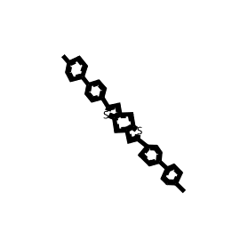 Cc1ccc(-c2ccc(-c3cc4cc5sc(-c6ccc(-c7ccc(C)cc7)cc6)cc5cc4s3)cc2)cc1